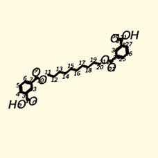 O=C(O)c1cccc(C(=O)OCCCCCCCCCCOC(=O)c2cccc(C(=O)O)c2)c1